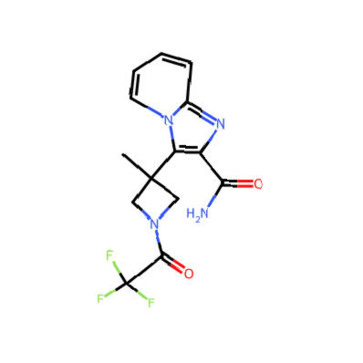 CC1(c2c(C(N)=O)nc3ccccn23)CN(C(=O)C(F)(F)F)C1